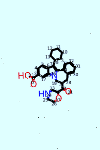 O=C(O)c1ccc2c(C3CCCCC3)c3n(c2c1)CC(C(=O)C1CNCCO1)Cc1ccccc1-3